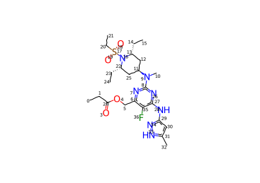 CCC(=O)OCc1nc(N(C)[C@@H]2C[C@@H](CC)N(S(=O)(=O)CC)[C@@H](CC)C2)nc(Nc2cc(C)[nH]n2)c1F